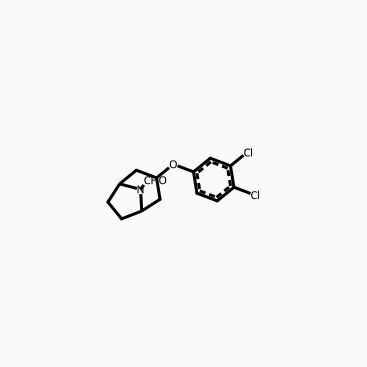 O=CN1C2CCC1CC(Oc1ccc(Cl)c(Cl)c1)C2